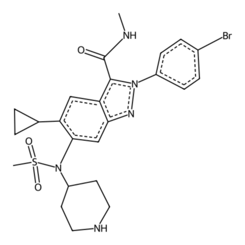 CNC(=O)c1c2cc(C3CC3)c(N(C3CCNCC3)S(C)(=O)=O)cc2nn1-c1ccc(Br)cc1